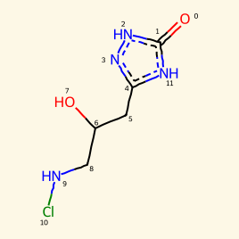 O=c1[nH]nc(CC(O)CNCl)[nH]1